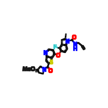 C#CCNC(=O)n1c(C)cc2c(F)c(Oc3ccnc4cc(C(=O)N5CC[C@H](OC)C5)sc34)ccc21